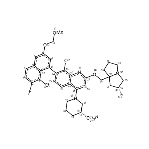 CCc1c(F)ccc2cc(OCOC)cc(-c3ncc4c(N5CCC[C@@H](C(=O)O)C5)nc(OCC56CCCN5C[C@H](F)C6)nc4c3F)c12